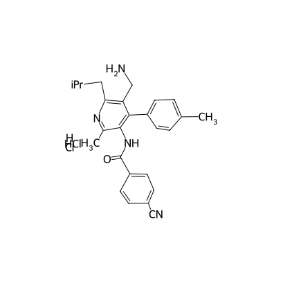 Cc1ccc(-c2c(CN)c(CC(C)C)nc(C)c2NC(=O)c2ccc(C#N)cc2)cc1.Cl.Cl